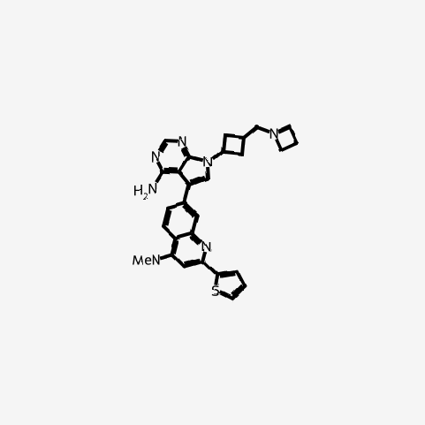 CNc1cc(-c2cccs2)nc2cc(-c3cn(C4CC(CN5CCC5)C4)c4ncnc(N)c34)ccc12